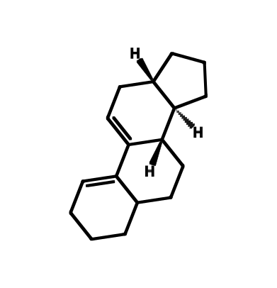 C1=C2C3=CC[C@@H]4CCC[C@H]4[C@@H]3CCC2CCC1